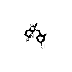 Cc1cc(Cl)ccc1Cn1c(C)nc2ccc(Br)nc21